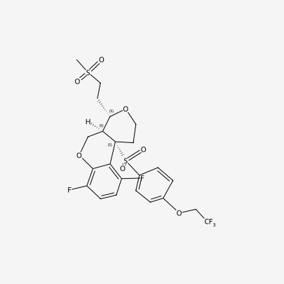 CS(=O)(=O)CC[C@@H]1OCC[C@@]2(S(=O)(=O)c3ccc(OCC(F)(F)F)cc3)c3c(F)ccc(F)c3OC[C@@H]12